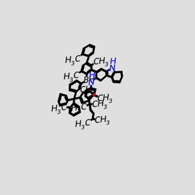 Cc1ccccc1-c1cc(C)c(Bc2cccc(C(c3ccccc3)(c3ccccc3)c3ccccc3C)c2C)c(C2=Cc3[nH]c4c(c3CC2Nc2ccc(C(C)(C)CCC(C)C)c(C)c2)C=CCC4)c1C